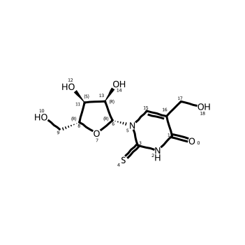 O=c1[nH]c(=S)n([C@@H]2O[C@H](CO)[C@@H](O)[C@H]2O)cc1CO